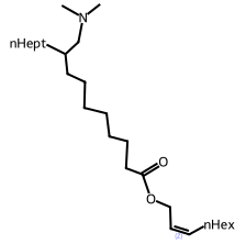 CCCCCC/C=C\COC(=O)CCCCCCCC(CCCCCCC)CN(C)C